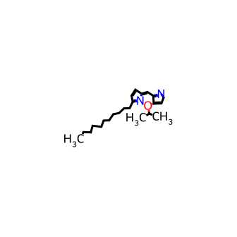 CCCCCCCCCCCC1=NC(=CC2=NCC=C2OC(C)C)C=C1